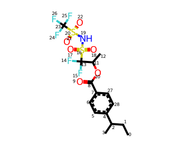 CCC(C)c1ccc(C(=O)OC(C)C(F)(F)S(=O)(=O)NS(=O)(=O)C(F)(F)F)cc1